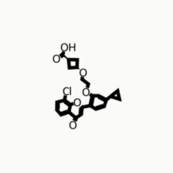 O=c1cc(-c2ccc(C3CC3)cc2OCCO[C@H]2C[C@H](C(=O)O)C2)oc2c(Cl)cccc12